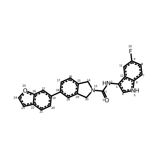 O=C(Nc1c[nH]c2ccc(F)cc12)N1Cc2ccc(-c3ccc4ccoc4c3)cc2C1